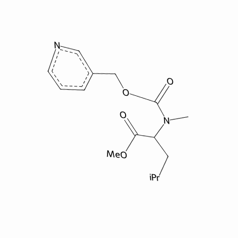 COC(=O)C(CC(C)C)N(C)C(=O)OCc1cccnc1